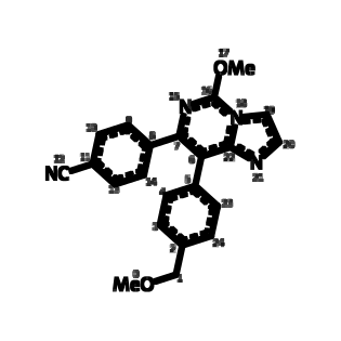 COCc1ccc(-c2c(-c3ccc(C#N)cc3)nc(OC)n3ccnc23)cc1